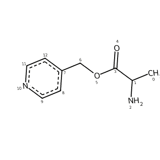 CC(N)C(=O)OCc1ccncc1